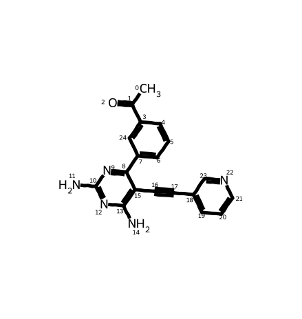 CC(=O)c1cccc(-c2nc(N)nc(N)c2C#Cc2cccnc2)c1